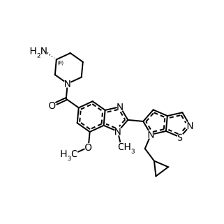 COc1cc(C(=O)N2CCC[C@@H](N)C2)cc2nc(-c3cc4cnsc4n3CC3CC3)n(C)c12